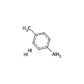 Cc1cc[c]([AlH2])cc1.I.I